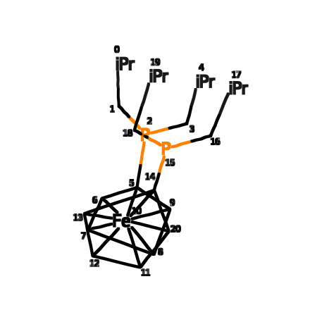 CC(C)CP(CC(C)C)[C]12[CH]3[CH]4[CH]5[CH]1[Fe]45321678[CH]2[CH]1[CH]6[C]7(P(CC(C)C)CC(C)C)[CH]28